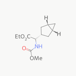 CCOC(=O)C(NC(=O)OC)[C@@H]1C[C@@H]2C[C@@H]2C1